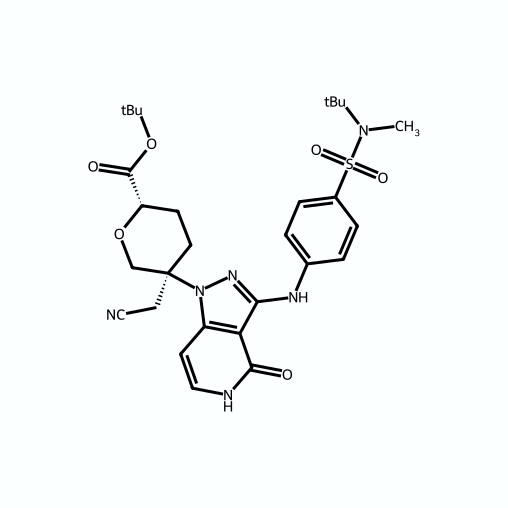 CN(C(C)(C)C)S(=O)(=O)c1ccc(Nc2nn([C@]3(CC#N)CC[C@@H](C(=O)OC(C)(C)C)OC3)c3cc[nH]c(=O)c23)cc1